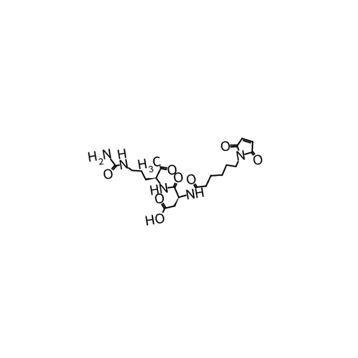 CC(=O)[C@H](CCCNC(N)=O)NC(=O)[C@H](CC(=O)O)NC(=O)CCCCCN1C(=O)C=CC1=O